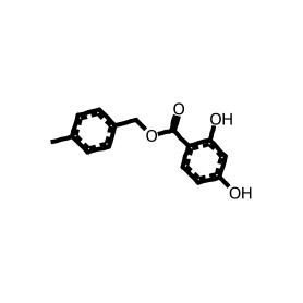 Cc1ccc(COC(=O)c2ccc(O)cc2O)cc1